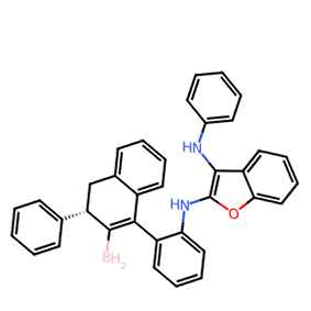 BC1=C(c2ccccc2Nc2oc3ccccc3c2Nc2ccccc2)c2ccccc2C[C@H]1c1ccccc1